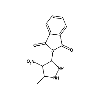 CC1NNC(N2C(=O)c3ccccc3C2=O)C1[N+](=O)[O-]